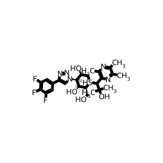 Cc1nc(C)c(C([SH]2C[C@H](O)[C@H](n3cc(-c4cc(F)c(F)c(F)c4)nn3)[C@@H](O)[C@H]2CO)C(C)(C)O)nc1C